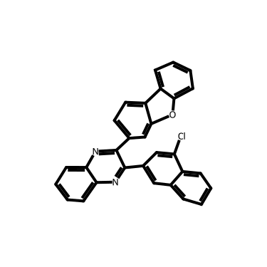 Clc1cc(-c2nc3ccccc3nc2-c2ccc3c(c2)oc2ccccc23)cc2ccccc12